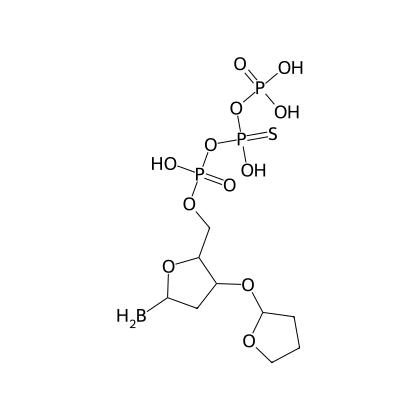 BC1CC(OC2CCCO2)C(COP(=O)(O)OP(O)(=S)OP(=O)(O)O)O1